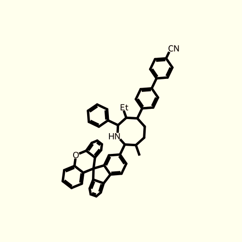 CCC1C(c2ccc(-c3ccc(C#N)cc3)cc2)CCC(C)C(c2ccc3c(c2)C2(c4ccccc4Oc4ccccc42)c2ccccc2-3)NC1c1ccccc1